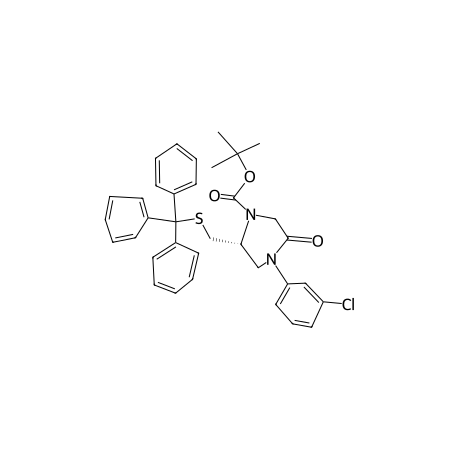 CC(C)(C)OC(=O)N1CC(=O)N(c2cccc(Cl)c2)C[C@@H]1CSC(c1ccccc1)(c1ccccc1)c1ccccc1